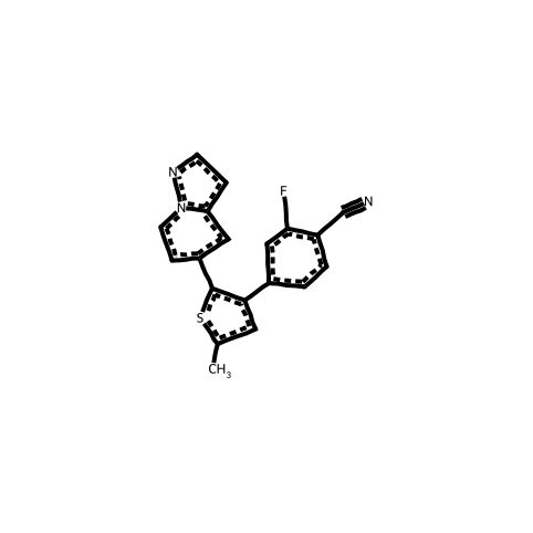 Cc1cc(-c2ccc(C#N)c(F)c2)c(-c2ccn3nccc3c2)s1